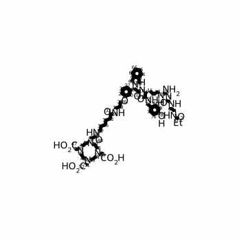 CCC(=O)NCCNC(=O)/N=C(/N)NCCC[C@@H](NC(=O)[C@H](c1cccc(OCCCNC(=O)CCCCCNC(=O)CN2CCN(CC(=O)O)CCN(CC(=O)O)CCN(CC(=O)O)CC2)c1)N1Cc2ccccc2C1)C(=O)NCc1ccc(O)cc1